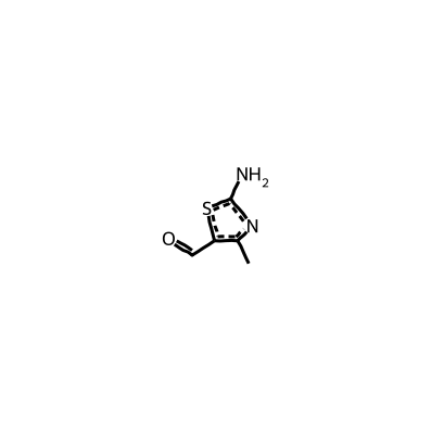 Cc1nc(N)sc1C=O